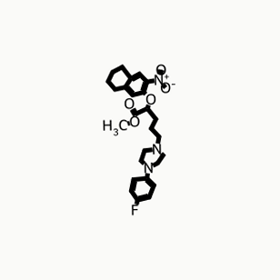 COC(=O)C(CCCN1CCN(c2ccc(F)cc2)CC1)Oc1cc2c(cc1[N+](=O)[O-])CCCC2